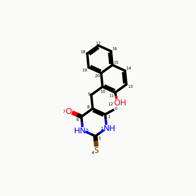 Cc1[nH]c(=S)[nH]c(=O)c1Cc1c(O)ccc2ccccc12